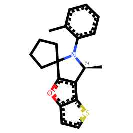 Cc1ccccc1N1[C@@H](C)c2c(oc3ccsc23)C12CCCC2